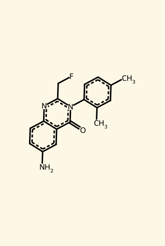 Cc1ccc(-n2c(CF)nc3ccc(N)cc3c2=O)c(C)c1